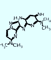 CN(C)C1=N/C(=N/c2cnn3ccc(N(C)C)nc23)C(N)=CC1=N